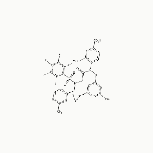 COc1cc(C(=O)O)ccc1N(Cc1cc(C2CC2)cc(C(C)(C)C)c1)C(=O)CN(Cc1ccnc(C(F)(F)F)c1)S(=O)(=O)c1c(F)c(F)c(F)c(F)c1F